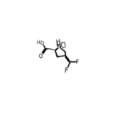 Cl.O=C(O)[C@@H]1CC(=C(F)F)CN1